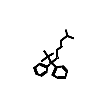 CC(C)C[CH]CO[Si](c1ccccc1)(c1ccccc1)C(C)(C)C